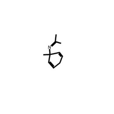 CC(C)=NC1(C)C=CCC=C1